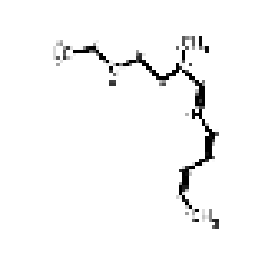 C\C=C/C=C\N=C\N(C)CCOCC